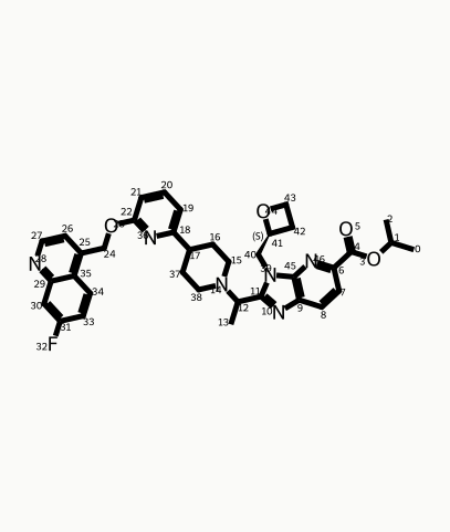 CC(C)OC(=O)c1ccc2nc(C(C)N3CCC(c4cccc(OCc5ccnc6cc(F)ccc56)n4)CC3)n(C[C@@H]3CCO3)c2n1